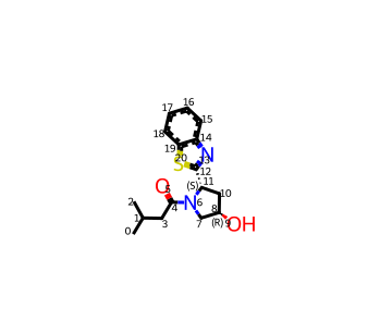 CC(C)CC(=O)N1C[C@H](O)C[C@H]1c1nc2ccccc2s1